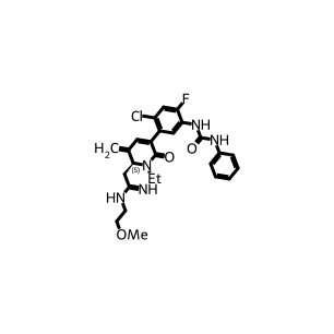 C=C1C=C(c2cc(NC(=O)Nc3ccccc3)c(F)cc2Cl)C(=O)N(CC)[C@H]1CC(=N)NCCOC